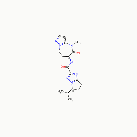 CC(C)[C@@H]1CCc2nc(C(=O)N[C@H]3CCn4nccc4N(C)C3=O)nn21